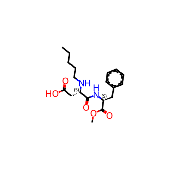 CCCCCN[C@@H](CC(=O)O)C(=O)N[C@@H](Cc1ccccc1)C(=O)OC